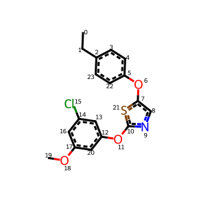 CCc1ccc(Oc2cnc(Oc3cc(Cl)cc(OC)c3)s2)cc1